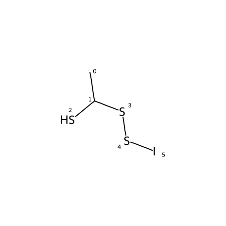 CC(S)SSI